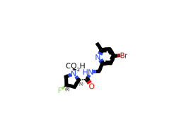 Cc1cc(Br)cc(CNC(=O)[C@@H]2C[C@@H](F)CN2C(=O)O)n1